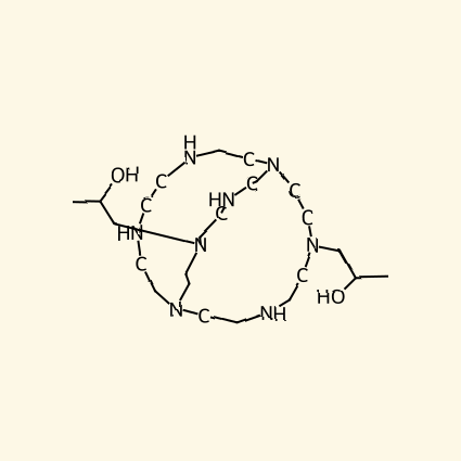 CC(O)CN1CCNCCN2CCNCCNCCN(CCNCCN(CC(C)O)CC2)CC1